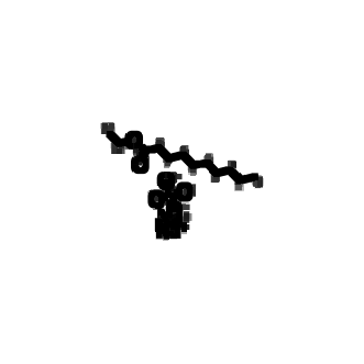 CCCCCCCCCC(=O)OCC.O=S(=O)([O-])[O-].[Na+].[Na+]